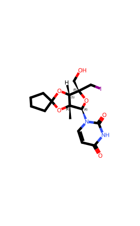 C[C@@]12OC3(CCCC3)O[C@@H]1[C@](CO)(CI)O[C@H]2n1ccc(=O)[nH]c1=O